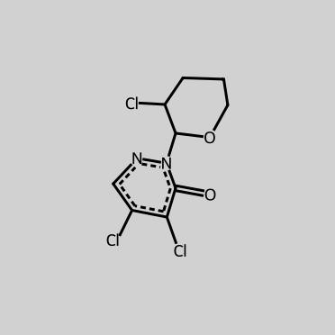 O=c1c(Cl)c(Cl)cnn1C1OCCCC1Cl